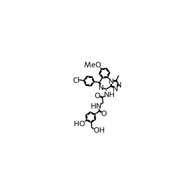 COc1ccc2c(c1)C(c1ccc(Cl)cc1)=N[C@@H](NC(=O)CNC(=O)c1ccc(O)c(CO)c1)c1nnc(C)n1-2